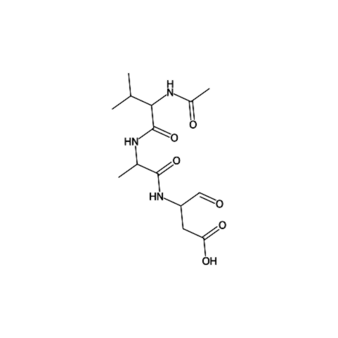 CC(=O)NC(C(=O)NC(C)C(=O)NC(C=O)CC(=O)O)C(C)C